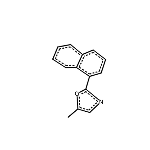 Cc1cnc(-c2cccc3ccccc23)o1